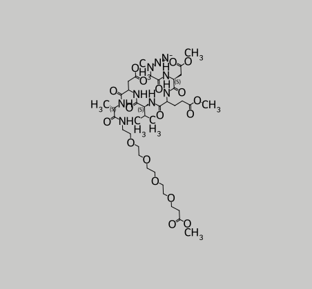 COC(=O)CCOCCOCCOCCOCCNC(=O)[C@H](C)NC(=O)C(CC(=O)OC)NC(=O)[C@@H](NC(=O)C(CCC(=O)OC)NC(=O)[C@H](CC(=O)OC)NC(=O)CN=[N+]=[N-])C(C)C